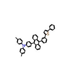 Cc1ccc(N(c2ccc(C)cc2)c2ccc(-c3c4ccccc4c(-c4cccc(-c5ccc(-c6ccccc6)s5)c4)c4ccccc34)cc2)cc1